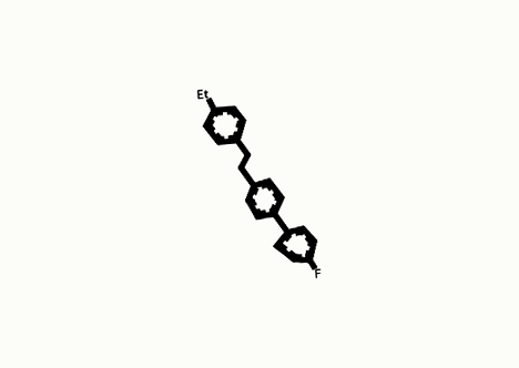 CCc1ccc(CCc2ccc(-c3ccc(F)cc3)cc2)cc1